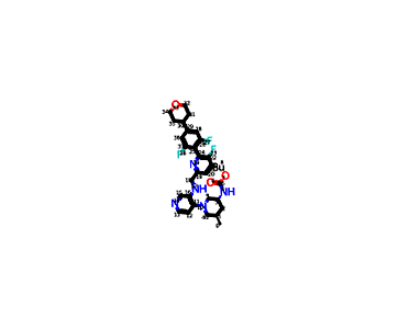 C[C@@H]1C[C@H](NC(=O)OC(C)(C)C)CN(c2ccncc2NCc2ccc(F)c(-c3c(F)cc(C4CCOCC4)cc3F)n2)C1